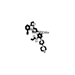 C#Cc1cccc([C@H]2CCON2/C(=C/C(=N)Nc2cc(NC(=O)C=C)c(N3CCC(N4CCN(C)CC4)CC3)cc2OC)NN)c1